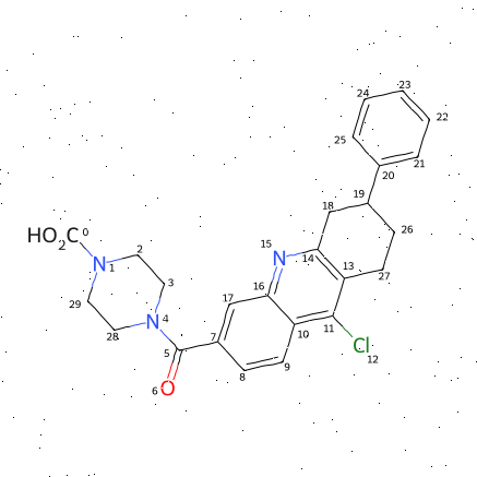 O=C(O)N1CCN(C(=O)c2ccc3c(Cl)c4c(nc3c2)CC(c2ccccc2)CC4)CC1